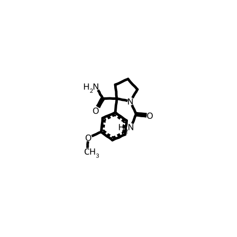 COc1cccc(C2(C(N)=O)CCCN2C(N)=O)c1